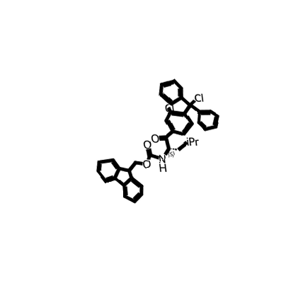 CC(C)C[C@H](NC(=O)OCC1c2ccccc2-c2ccccc21)C(=O)c1ccc(C(Cl)(c2ccccc2)c2ccccc2)c(Cl)c1